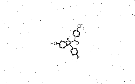 O=C(c1ccc(C(F)(F)F)cc1)c1sc2cc(O)ccc2c1-c1ccc(F)cc1